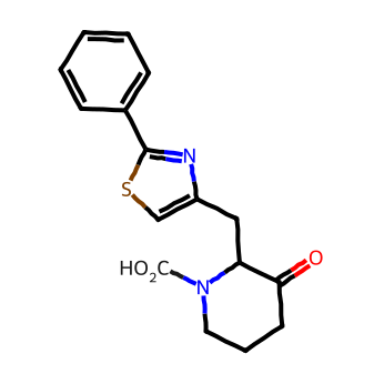 O=C1CCCN(C(=O)O)C1Cc1csc(-c2ccccc2)n1